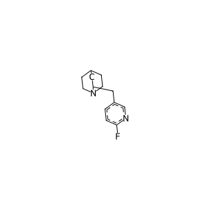 Fc1ccc(CC2CC3CCN2CC3)cn1